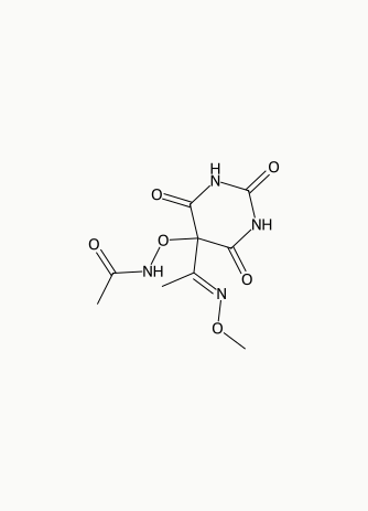 CON=C(C)C1(ONC(C)=O)C(=O)NC(=O)NC1=O